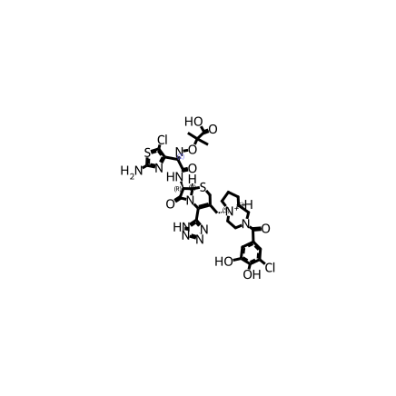 CC(C)(O/N=C(\C(=O)N[C@@H]1C(=O)N2C(c3nnn[nH]3)=C(C[N@+]34CCC[C@H]3CN(C(=O)c3cc(O)c(O)c(Cl)c3)CC4)CS[C@H]12)c1nc(N)sc1Cl)C(=O)O